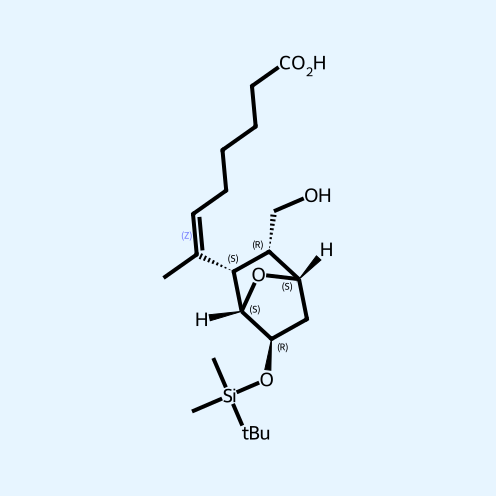 C/C(=C/CCCCC(=O)O)[C@@H]1[C@H](CO)[C@@H]2C[C@@H](O[Si](C)(C)C(C)(C)C)[C@H]1O2